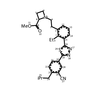 CCc1c(CCN2CCC2C(=O)OC)cccc1-c1nnc(-c2ccc(CC(C)C)c(C#N)c2)s1